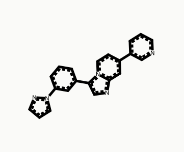 c1cncc(-c2ccn3c(-c4cccc(-n5cccn5)c4)cnc3c2)c1